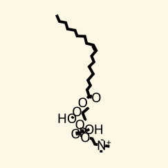 CCCCCCCC/C=C\CCCCCCCC(=O)OCC(COP(=O)(O)OCC[N+](C)(C)C)OO